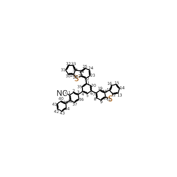 N#Cc1cc(-c2cc(-c3ccc4sc5ccccc5c4c3)cc(-c3cccc4c3sc3ccccc34)c2)ccc1-c1ccccc1